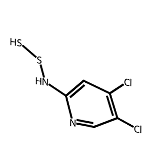 SSNc1cc(Cl)c(Cl)cn1